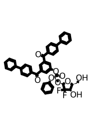 O=C(c1ccc(-c2ccccc2)cc1)c1cc(OP(=O)(Oc2ccccc2)O[C@@H]2O[C@H](CO)[C@@H](O)C2(F)F)cc(C(=O)c2ccc(-c3ccccc3)cc2)c1